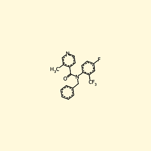 Cc1cnccc1C(=O)N(Cc1ccccc1)c1ccc(F)cc1C(F)(F)F